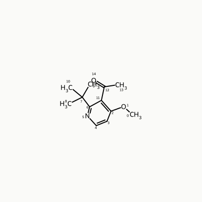 COc1ccnc(C(C)(C)C)c1C(C)=O